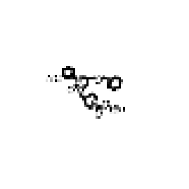 CC(C)(C)OC(=O)N1CCC(CN2CC(COCc3ccccc3)CN(c3cccc(C#N)c3)C2=O)CC1